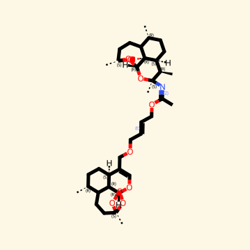 C/C(=N/[C@@]1(C)O[C@@H]2O[C@]3(C)CCC4[C@H](C)CC[C@@H]([C@H]1C)[C@]42OO3)OC/C=C/COCC1=CO[C@@H]2O[C@]3(C)CCC4[C@H](C)CC[C@@H]1[C@]42OO3